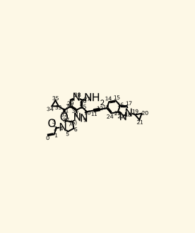 C=CC(=O)N1CC[C@H](n2nc(C#Cc3ccc4cn(C5CC5)nc4c3)c3c(N)ncc(C(=O)C4CC4)c32)C1